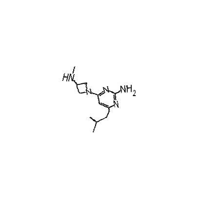 CNC1CN(c2cc(CC(C)C)nc(N)n2)C1